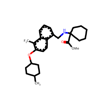 COC(=O)C1(NCc2cccc3c(C(F)(F)F)c(OC4CCC(C)CC4)ccc23)CCCCC1